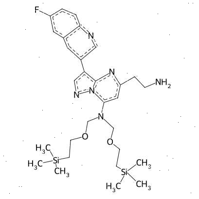 C[Si](C)(C)CCOCN(COCC[Si](C)(C)C)c1cc(CCN)nc2c(-c3cnc4ccc(F)cc4c3)cnn12